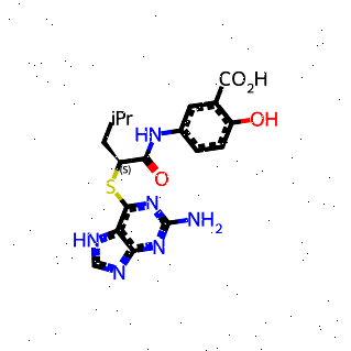 CC(C)C[C@H](Sc1nc(N)nc2nc[nH]c12)C(=O)Nc1ccc(O)c(C(=O)O)c1